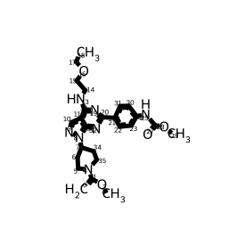 C=C(OC)N1CCC(n2ncc3c(NCCOCC)nc(-c4ccc(NC(=O)OC)cc4)nc32)CC1